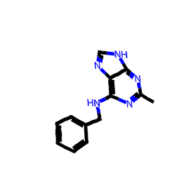 Cc1nc(NCc2ccccc2)c2nc[nH]c2n1